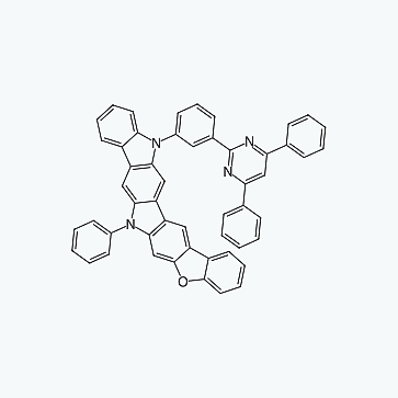 c1ccc(-c2cc(-c3ccccc3)nc(-c3cccc(-n4c5ccccc5c5cc6c(cc54)c4cc5c(cc4n6-c4ccccc4)oc4ccccc45)c3)n2)cc1